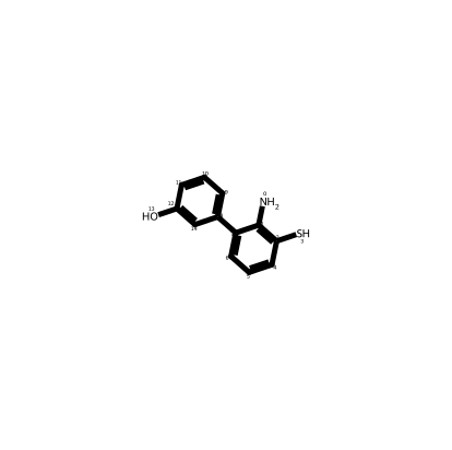 Nc1c(S)cccc1-c1cccc(O)c1